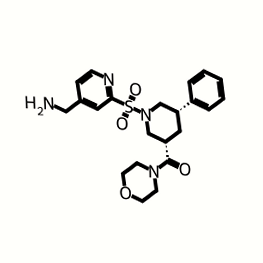 NCc1ccnc(S(=O)(=O)N2C[C@@H](C(=O)N3CCOCC3)C[C@@H](c3ccccc3)C2)c1